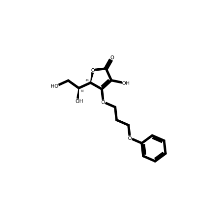 O=C1O[C@H]([C@@H](O)CO)C(OCCCOc2ccccc2)=C1O